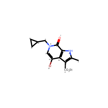 CCOC(=O)c1c(C)[nH]c2c(=O)n(CC3CC3)cc(Br)c12